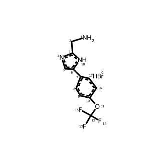 Br.NCc1ncc(-c2ccc(OC(F)(F)F)cc2)[nH]1